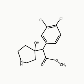 COC(=O)C(c1ccc(Cl)c(Cl)c1)C1(O)CCNCC1